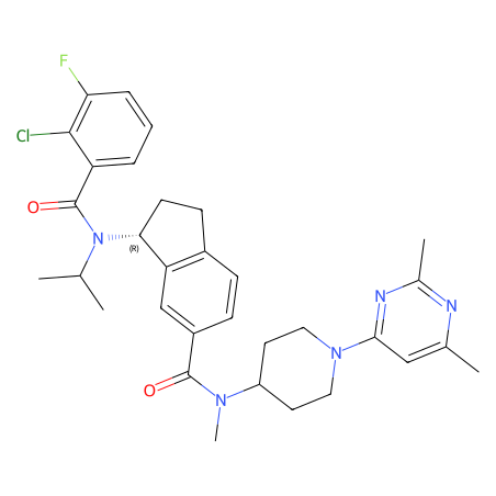 Cc1cc(N2CCC(N(C)C(=O)c3ccc4c(c3)[C@H](N(C(=O)c3cccc(F)c3Cl)C(C)C)CC4)CC2)nc(C)n1